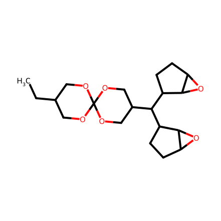 CCC1COC2(OC1)OCC(C(C1CCC3OC31)C1CCC3OC31)CO2